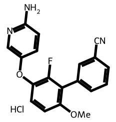 COc1ccc(Oc2ccc(N)nc2)c(F)c1-c1cccc(C#N)c1.Cl